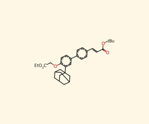 CCOC(=O)COc1ccc(-c2ccc(C=CC(=O)OC(C)(C)C)cc2)cc1C12CC3CC(CC(C3)C1)C2